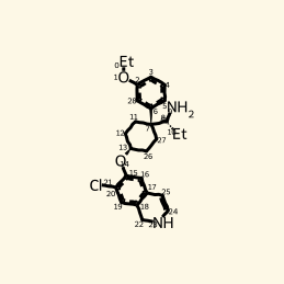 CCOc1cccc([C@]2([C@H](N)CC)CC[C@H](Oc3cc4c(cc3Cl)CNC=C4)CC2)c1